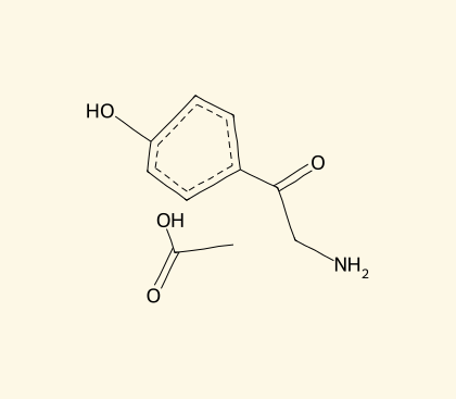 CC(=O)O.NCC(=O)c1ccc(O)cc1